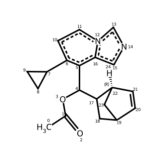 CC(=O)OC(c1c(C2CC2)ccn2cncc12)C1CC2C=C[C@H]1C2